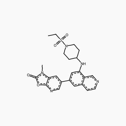 CCS(=O)(=O)N1CCC(Nc2cc(-c3cnc4oc(=O)n(C)c4c3)cc3ccncc23)CC1